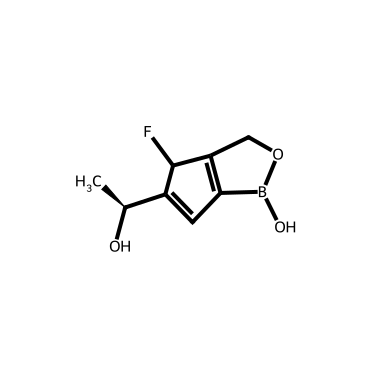 C[C@H](O)C1=CC2=C(COB2O)C1F